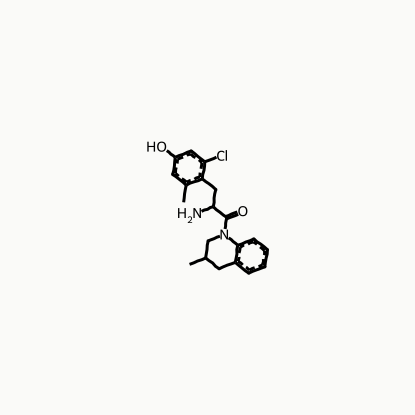 Cc1cc(O)cc(Cl)c1CC(N)C(=O)N1CC(C)Cc2ccccc21